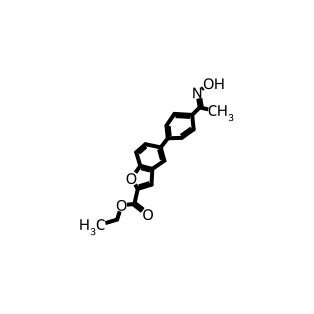 CCOC(=O)c1cc2cc(-c3ccc(C(C)=NO)cc3)ccc2o1